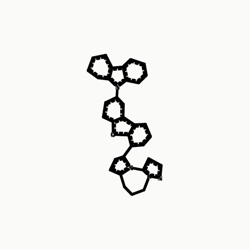 c1cc(-c2ccc3n2-c2ccnn2CCC3)c2oc3ccc(-n4c5ccccc5c5ccccc54)cc3c2c1